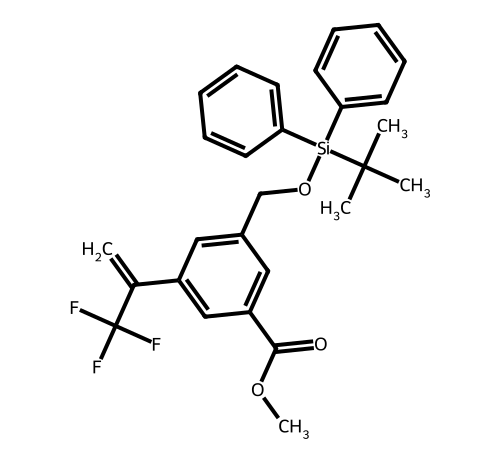 C=C(c1cc(CO[Si](c2ccccc2)(c2ccccc2)C(C)(C)C)cc(C(=O)OC)c1)C(F)(F)F